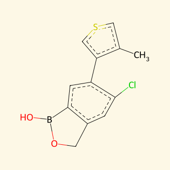 Cc1cscc1-c1cc2c(cc1Cl)COB2O